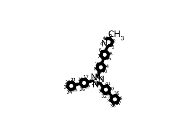 Cc1ccc(-c2ccc(-c3ccc(-c4nc(-c5ccc(-c6ccccc6)cc5)nc(-c5ccc(-c6ccccc6)cc5)n4)cc3)cc2)nc1